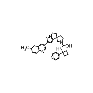 CC1C=Cc2ncc(-c3cc4n(n3)CCC43CCN(C(O)NC4(c5ccncc5)CCC4)C3)cc2C1